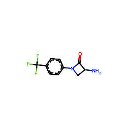 NC1CN(c2ccc(C(F)(F)F)cc2)C1=O